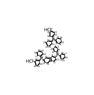 Cl.Cl.c1ccc(P(c2ccccc2)c2ccccc2)cc1.c1ccc(P(c2ccccc2)c2ccccc2)cc1.c1ccc(P(c2ccccc2)c2ccccc2)cc1